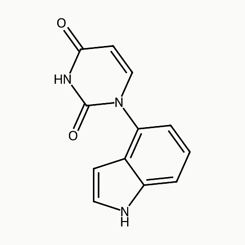 O=c1ccn(-c2cccc3[nH]ccc23)c(=O)[nH]1